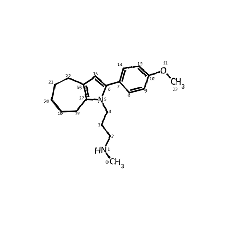 CNCCCn1c(-c2ccc(OC)cc2)cc2c1CCCCC2